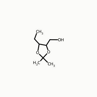 CCC1OC(C)(C)OC1CO